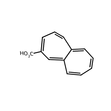 O=C(O)C1=CC=CC2=CC=CC=CC2=C1